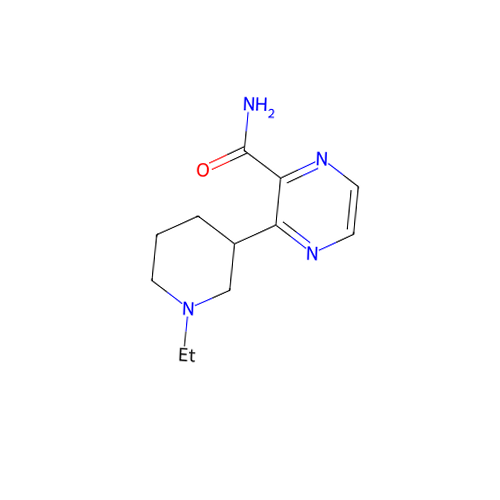 CCN1CCCC(c2nccnc2C(N)=O)C1